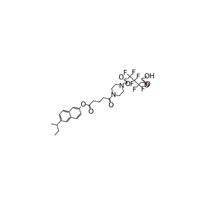 CCC(C)c1ccc2cc(OC(=O)CCCC(=O)N3CCN(S(=O)(=O)C(F)(F)C(F)(F)C(F)(F)S(=O)(=O)O)CC3)ccc2c1